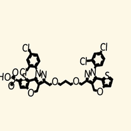 O=S(=O)(O)c1cc2c(s1)-c1c(c(COCCCOCc3nn(-c4ccc(Cl)cc4Cl)c4c3COc3ccsc3-4)nn1-c1ccc(Cl)cc1Cl)CO2